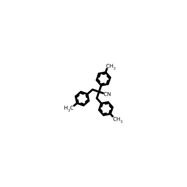 Cc1ccc(CC(C#N)(Cc2ccc(C)cc2)c2ccc(C)cc2)cc1